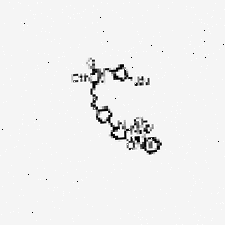 CCn1c(CCCc2ccc(-c3ccc(OC)c(N(C)S(=O)(=O)c4ccccc4)n3)cc2)nn(Cc2ccc(C(C)(C)C)cc2)c1=O